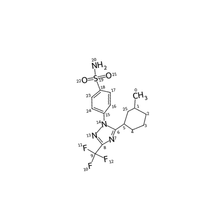 CC1CCCC(c2nc(C(F)(F)F)nn2-c2ccc(S(N)(=O)=O)cc2)C1